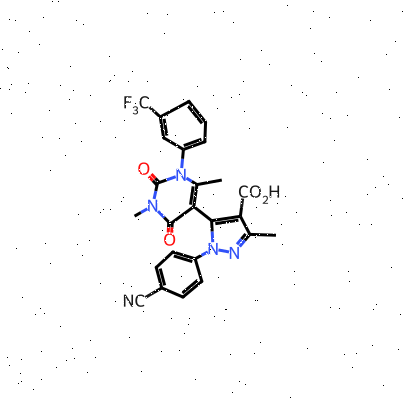 Cc1nn(-c2ccc(C#N)cc2)c(-c2c(C)n(-c3cccc(C(F)(F)F)c3)c(=O)n(C)c2=O)c1C(=O)O